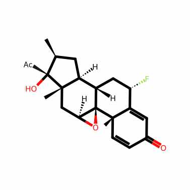 CC(=O)[C@@]1(O)[C@@H](C)C[C@H]2[C@@H]3C[C@H](F)C4=CC(=O)C=C[C@]4(C)[C@@]34O[C@H]4C[C@@]21C